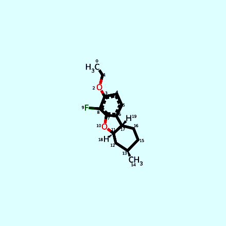 CCOc1ccc2c(c1F)O[C@@H]1C[C@H](C)CC[C@@H]21